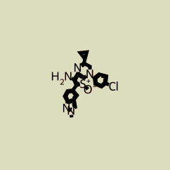 Cn1cc2cc(-c3c(N)c4c([s+]3[O-])N(c3ccc(Cl)cc3)CC(C3CC3)=N4)ccc2n1